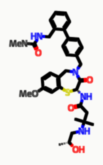 CNC(=O)NCc1ccccc1-c1ccc(CN2Cc3ccc(OC)cc3S[C@@H](NC(=O)CC(C)(C)NC[C@@H](C)O)C2=O)cc1